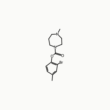 Cc1ccc(OC(=O)N2CCCN(C)CC2)c(Br)c1